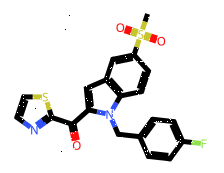 CS(=O)(=O)c1ccc2c(c1)cc(C(=O)c1nccs1)n2Cc1ccc(F)cc1